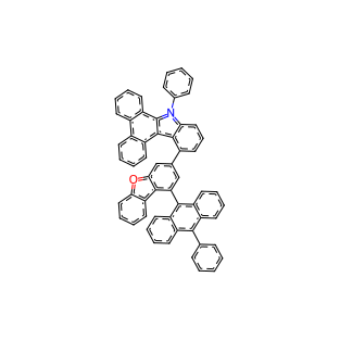 c1ccc(-c2c3ccccc3c(-c3cc(-c4cccc5c4c4c6ccccc6c6ccccc6c4n5-c4ccccc4)cc4oc5ccccc5c34)c3ccccc23)cc1